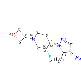 Cc1c(N)cnn1[C@H]1CCN(C2COC2)C[C@H]1F